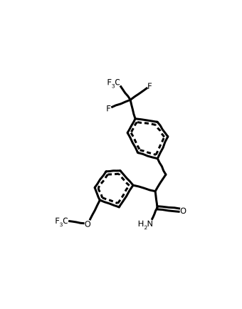 NC(=O)C(Cc1ccc(C(F)(F)C(F)(F)F)cc1)c1cccc(OC(F)(F)F)c1